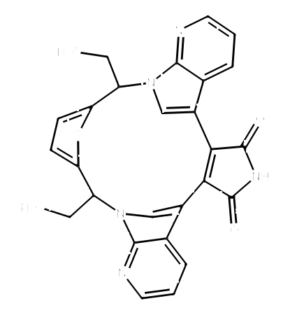 CCC1c2ccc(s2)C(CC)n2cc(c3cccnc32)C2=C(C(=O)NC2=O)c2cn1c1ncccc21